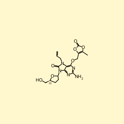 C=CCn1c(=O)n(C2CC[C@@H](CO)O2)c2nc(N)nc(OCc3oc(=O)oc3C)c21